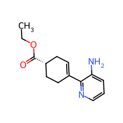 CCOC(=O)[C@@H]1CC=C(c2ncccc2N)CC1